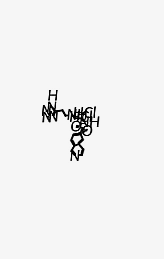 C[C@H](CNCCc1nnn[nH]1)NS(=O)(=O)c1ccc2cnccc2c1.Cl.Cl